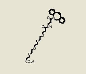 O=C(O)CCOCCOCCOCCOCCC(=O)NCCC(=O)N1Cc2ccccc2C#Cc2ccccc21